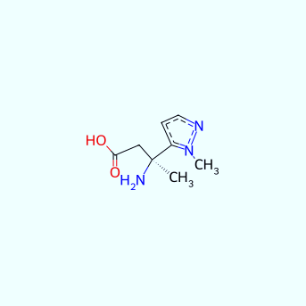 Cn1nccc1[C@@](C)(N)CC(=O)O